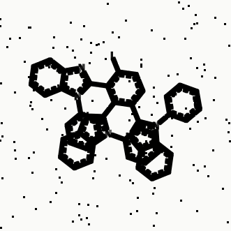 Ic1ccc(-c2nc3ccccc3n2-c2ccccc2)c(-c2nc3ccccc3n2-c2ccccc2)c1-c1nc2ccccc2n1-c1ccccc1